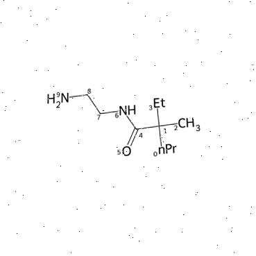 CCCC(C)(CC)C(=O)NCCN